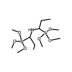 CCC(NC(CC)[Si](OC)(OC)OC)[Si](OC)(OC)OC